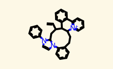 C=CC1CC2N(c3ccccc3)C=CN2c2ccccc2CCC2C1c1ccccc1-c1cccc[n+]12